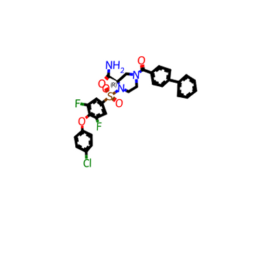 NC(=O)[C@H]1CN(C(=O)c2ccc(-c3ccccc3)cc2)CCN1S(=O)(=O)c1cc(F)c(Oc2ccc(Cl)cc2)c(F)c1